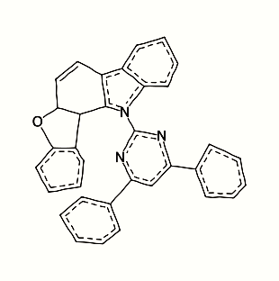 C1=CC2Oc3ccccc3C2c2c1c1ccccc1n2-c1nc(-c2ccccc2)cc(-c2ccccc2)n1